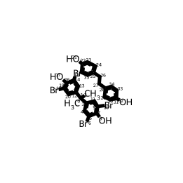 CC(C)(c1cc(Br)c(O)c(Br)c1)c1cc(Br)c(O)c(Br)c1.Oc1ccc(CCc2ccc(O)cc2)cc1